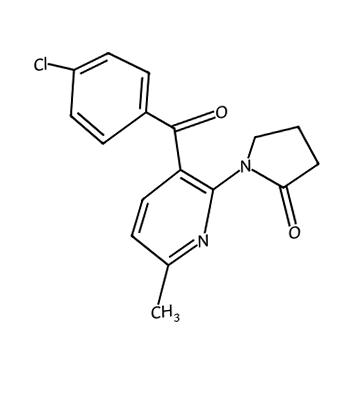 Cc1ccc(C(=O)c2ccc(Cl)cc2)c(N2CCCC2=O)n1